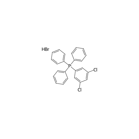 Br.Clc1cc(Cl)cc([P](c2ccccc2)(c2ccccc2)c2ccccc2)c1